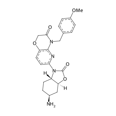 COc1ccc(CN2C(=O)COc3ccc(N4C(=O)O[C@H]5C[C@@H](N)CC[C@@H]54)nc32)cc1